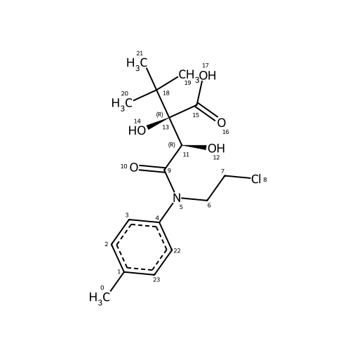 Cc1ccc(N(CCCl)C(=O)[C@H](O)[C@@](O)(C(=O)O)C(C)(C)C)cc1